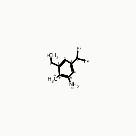 CCc1cc(C(F)F)cc(N)c1C